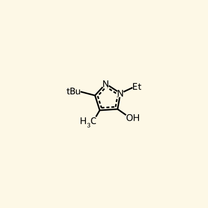 CCn1nc(C(C)(C)C)c(C)c1O